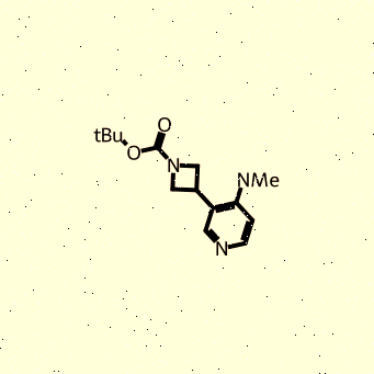 CNc1ccncc1C1CN(C(=O)OC(C)(C)C)C1